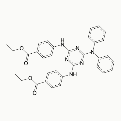 CCOC(=O)c1ccc(Nc2nc(Nc3ccc(C(=O)OCC)cc3)nc(N(c3ccccc3)c3ccccc3)n2)cc1